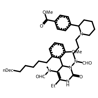 CCCCCCCCCCCCCCCc1cccc(OC)c1C1C(N(C)C=O)=C(CC)NC(=O)N1N(C=O)CCCN1CCCCC1c1ccc(C(=O)OC)cc1